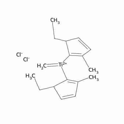 [CH2]=[Ti+2]([C]1=C(C)C=CC1CC)[C]1=C(C)C=CC1CC.[Cl-].[Cl-]